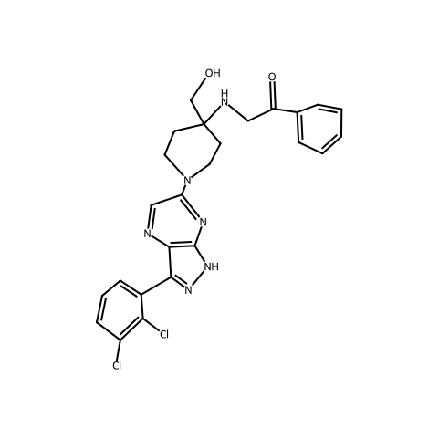 O=C(CNC1(CO)CCN(c2cnc3c(-c4cccc(Cl)c4Cl)n[nH]c3n2)CC1)c1ccccc1